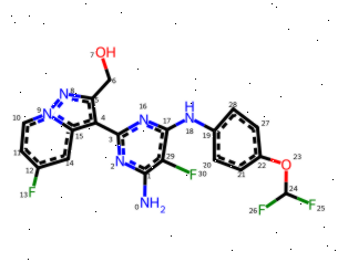 Nc1nc(-c2c(CO)nn3ccc(F)cc23)nc(Nc2ccc(OC(F)F)cc2)c1F